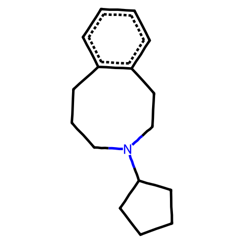 c1ccc2c(c1)CCCN(C1CCCC1)CC2